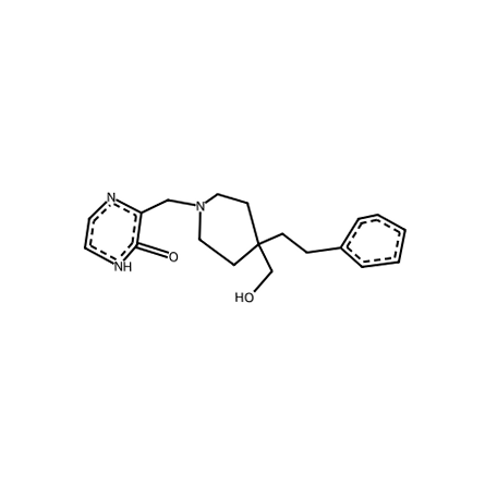 O=c1[nH]ccnc1CN1CCC(CO)(CCc2ccccc2)CC1